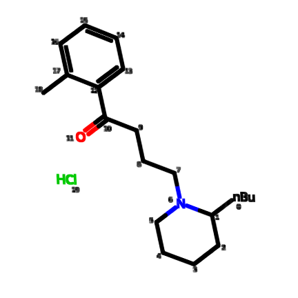 CCCCC1CCCCN1CCCC(=O)c1ccccc1C.Cl